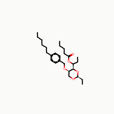 CCCCCCc1ccc(CO[C@@H]2CO[C@H](CC)O[C@@H]2C(CC)OC(=O)CCCC)cc1